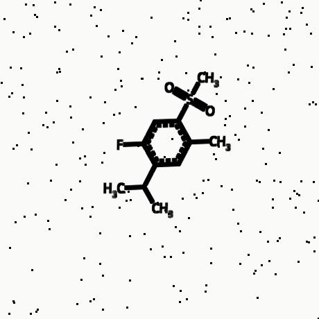 Cc1cc(C(C)C)c(F)cc1S(C)(=O)=O